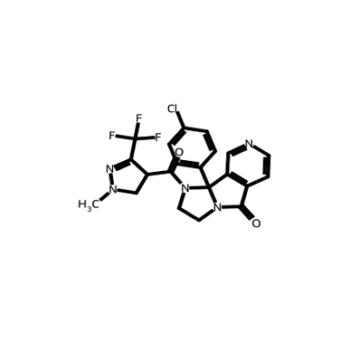 CN1CC(C(=O)N2CCN3C(=O)c4ccncc4C32c2ccc(Cl)cc2)C(C(F)(F)F)=N1